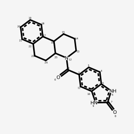 O=C(c1ccc2[nH]c(=O)[nH]c2c1)N1CCCC2c3ccccc3CCC21